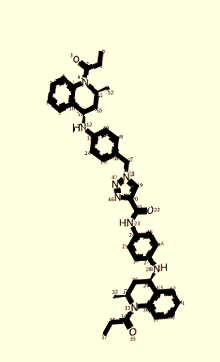 CCC(=O)N1c2ccccc2[C@H](Nc2ccc(Cn3cc(C(=O)Nc4ccc(N[C@@H]5C[C@H](C)N(C(=O)CC)c6ccccc65)cc4)nn3)cc2)C[C@@H]1C